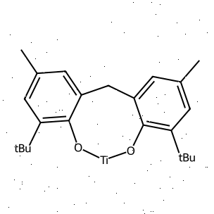 Cc1cc2c(c(C(C)(C)C)c1)[O][Ti][O]c1c(cc(C)cc1C(C)(C)C)C2